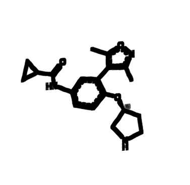 Cc1noc(C)c1-c1cc(NC(=O)C2CC2)ccc1O[C@H]1CCNC1